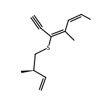 C#C/C(SC[C@H](C)C=C)=C(C)\C=C/C